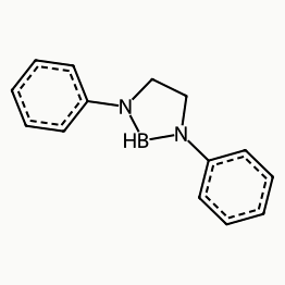 B1N(c2ccccc2)CCN1c1ccccc1